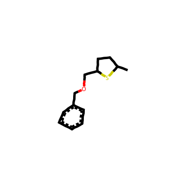 CC1CCC(COCc2ccccc2)S1